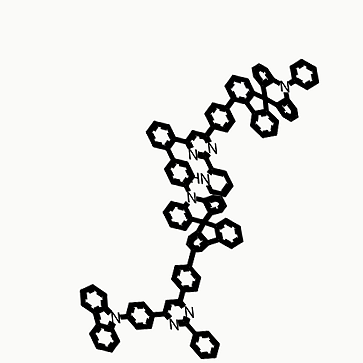 C1=CCNC(c2nc(-c3ccc(-c4cccc5c4-c4ccccc4C54c5ccccc5N(c5ccccc5)c5ccccc54)cc3)cc(-c3ccccc3-c3ccc(N4c5ccccc5C5(c6ccccc6-c6cc(-c7ccc(-c8cc(-c9ccc(-n%10c%11ccccc%11c%11ccccc%11%10)cc9)nc(-c9ccccc9)n8)cc7)ccc65)c5ccccc54)cc3)n2)=C1